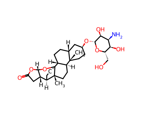 C[C@]12CC[C@H](O[C@H]3O[C@@H](CO)[C@H](O)[C@H](N)[C@@H]3O)C[C@H]1CC[C@@H]1[C@@H]2CC[C@]2(C)[C@@H]3CC[C@]12O[C@H]1OC(=O)C[C@H]13